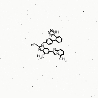 CCCc1nc2c(C)cc(-c3cn4c(C)cccc4n3)cc2n1Cc1ccc(-c2ccccc2-c2nnn[nH]2)cc1